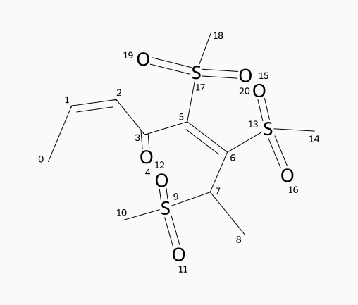 C/C=C\C(=O)/C(=C(\C(C)S(C)(=O)=O)S(C)(=O)=O)S(C)(=O)=O